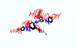 COc1cc(N=Nc2ccc(S(=O)(=O)O)cc2)c(S(=O)(=O)O)cc1N=Nc1ccc(N=Nc2ccc(O)cc2O)c2ccc(S(=O)(=O)O)cc12